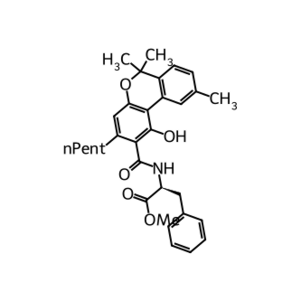 CCCCCc1cc2c(c(O)c1C(=O)N[C@@H](Cc1ccccc1)C(=O)OC)-c1cc(C)ccc1C(C)(C)O2